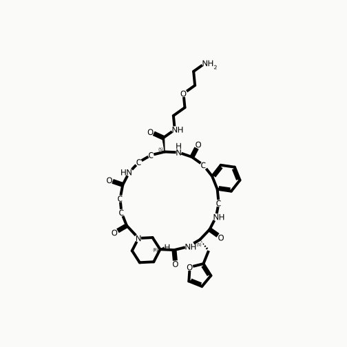 NCCOCCNC(=O)[C@@H]1CCNC(=O)CCC(=O)N2CCC[C@H](C2)C(=O)N[C@@H](Cc2ccco2)C(=O)NCc2ccccc2CC(=O)N1